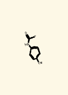 N#Cc1ccc(NC(=O)F)cc1